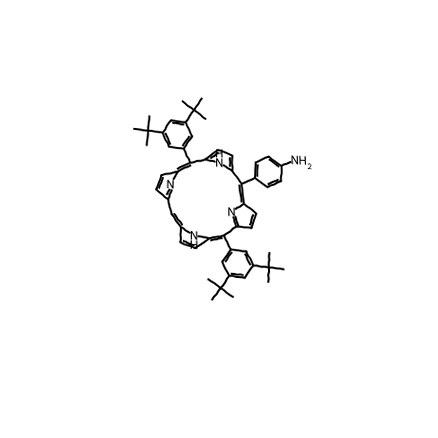 CC(C)(C)c1cc(-c2c3nc(c(-c4ccc(N)cc4)c4ccc([nH]4)c(-c4cc(C(C)(C)C)cc(C(C)(C)C)c4)c4nc(cc5ccc2[nH]5)C=C4)C=C3)cc(C(C)(C)C)c1